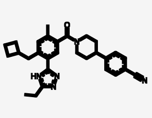 CCc1nnc(-c2cc(C(=O)N3CCC(c4ccc(C#N)cc4)CC3)c(C)cc2CC2CCC2)[nH]1